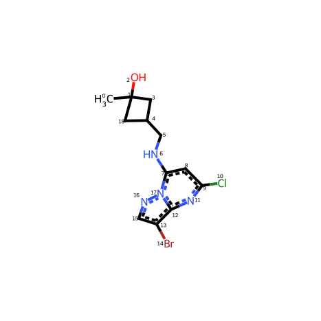 CC1(O)CC(CNc2cc(Cl)nc3c(Br)cnn23)C1